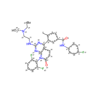 Cc1ccc(C(=O)Nc2ccc(F)cc2)cc1-c1nc(NCCN(CC(C)(C)C)C(=O)O)nc2c1ccc(=O)n2-c1c(F)cccc1F